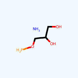 N.OCC(O)COP